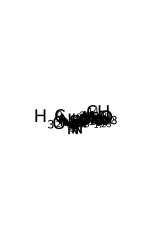 CC(=O)NCc1nnc(N2CCN(C(C)c3ccc4c(c3)OCC4)CC2)s1